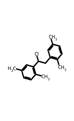 Cc1ccc(C)c(CC(Cl)c2cc(C)ccc2C)c1